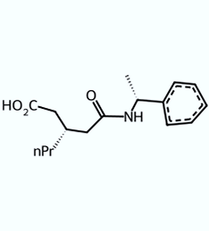 CCC[C@H](CC(=O)O)CC(=O)N[C@H](C)c1ccccc1